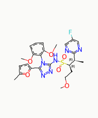 COCC[C@H]([C@H](C)c1ncc(F)cn1)S(=O)(=O)Nc1nnc(-c2ccc(C)o2)n1-c1c(OC)cccc1OC